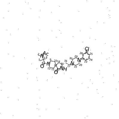 CC(=O)N(C)C(C)(C)C(=O)N1CCC2(CC1)C[C@H](CCN1CCN(c3cccc(Cl)c3)CC1)NC2=O